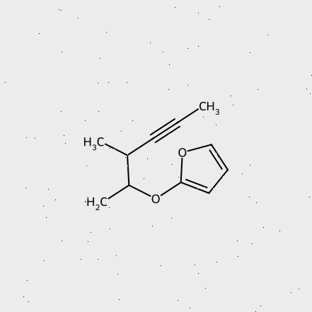 [CH2]C(Oc1ccco1)C(C)C#CC